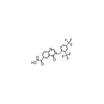 O=C(NO)c1ccc2ncn(Cc3ccc(C(F)(F)F)cc3C(F)(F)F)c(=O)c2c1